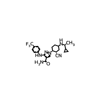 C[C@H](NC1CC[C@H](n2cc(C(N)=O)c(Nc3ccc(C(F)(F)F)cc3)n2)[C@@H](C#N)C1)C1CC1